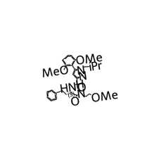 COCCNC(=O)[C@H](CCc1ccccc1)NC(=O)c1cc(-c2c(OC)cccc2OC)n(CC(C)C)n1